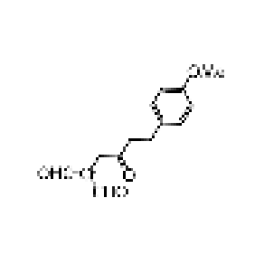 COc1ccc(CCC(=O)[CH2][Cr]([CH]=O)[CH]=O)cc1